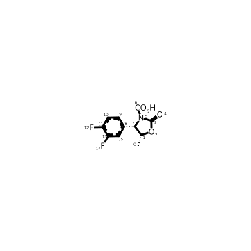 C[C@H]1OC(=O)N(C(=O)O)[C@H]1c1ccc(F)c(F)c1